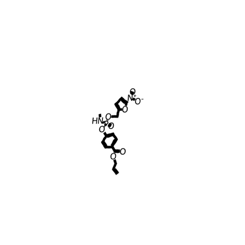 C=CCOC(=O)c1ccc(OP(=O)(NC)OCc2ccc([N+](=O)[O-])o2)cc1